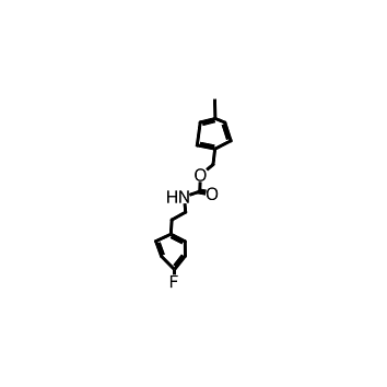 Cc1ccc(COC(=O)NCCc2ccc(F)cc2)cc1